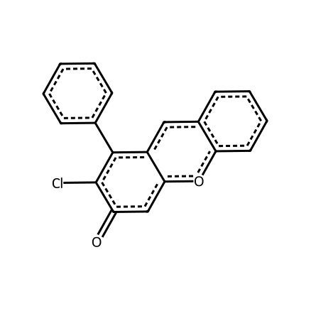 O=c1cc2oc3ccccc3cc-2c(-c2ccccc2)c1Cl